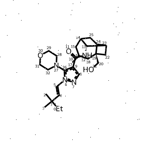 CCC(C)(C)/C=C/n1ncc(C(=O)N[C@@H]2C3CC(C)C[C@@]4(CO)CC2C4C3)c1N1CCOCC1